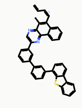 C=C/C=C\c1c(C)c2ncc(-c3cccc(-c4cccc(-c5cccc6c5sc5ccccc56)c4)c3)nc2c2ccccc12